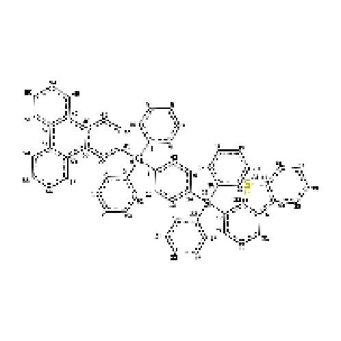 c1ccc([Si](c2ccccc2)(c2ccc([Si](c3ccccc3)(c3ccccc3)c3cccc4c3sc3ccccc34)cc2)c2ccc3c4ccccc4c4ccccc4c3c2)cc1